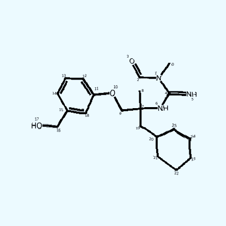 CN(C=O)C(=N)NC(C)(COc1cccc(CO)c1)CC1CCCCC1